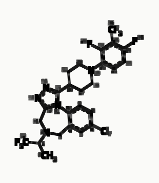 CC(N1Cc2cc(Cl)ccc2-n2c(nnc2C2CCN(c3ccc(F)c(C(F)(F)F)c3F)CC2)C1)C(F)(F)F